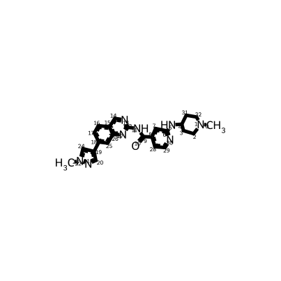 CN1CCC(Nc2cc(C(=O)Nc3ncc4ccc(-c5cnn(C)c5)cc4n3)ccn2)CC1